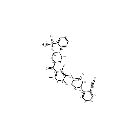 Cc1cc(C)c(C(=O)N2CCN(c3ncccc3S(N)(=O)=O)CC2)c(C)c1N[C@@H]1CCN(c2ccccc2C#N)C[C@H]1C